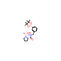 CB(O)N1CCC[C@H]1C(=O)NCc1cccc(B2OC(C)(C)C(C)(C)O2)c1